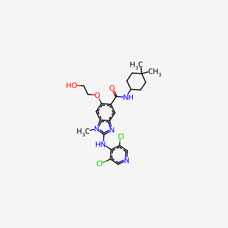 Cn1c(Nc2c(Cl)cncc2Cl)nc2cc(C(=O)NC3CCC(C)(C)CC3)c(OCCO)cc21